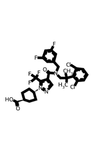 CC(C)(CN(Cc1cc(F)cc(F)c1)C(=O)c1cnn([C@H]2CC[C@H](C(=O)O)CC2)c1C(F)(F)F)c1c(Cl)cccc1Cl